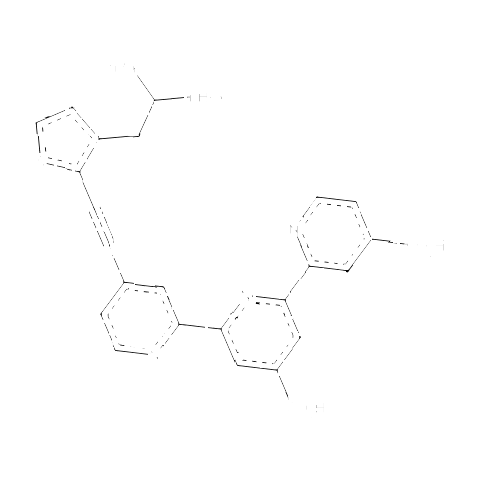 CCCCCCC(CCCC)Cc1ccsc1C#Cc1ccnc(-c2cc(C(=O)O)cc(-c3cc(C(=O)O)ccn3)n2)c1